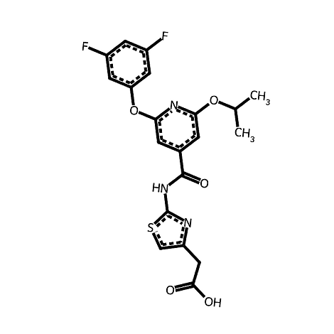 CC(C)Oc1cc(C(=O)Nc2nc(CC(=O)O)cs2)cc(Oc2cc(F)cc(F)c2)n1